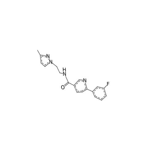 Cc1ccn(CCNC(=O)c2ccc(-c3cccc(F)c3)nc2)n1